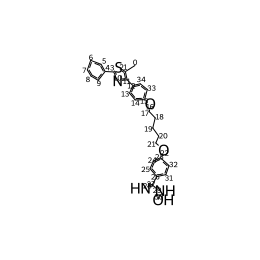 Cc1sc(-c2ccccc2)nc1-c1ccc(OCCCCCOc2ccc(C(=N)NO)cc2)cc1